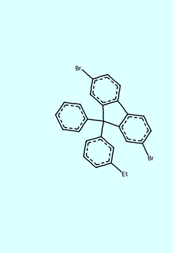 CCc1cccc(C2(c3ccccc3)c3cc(Br)ccc3-c3ccc(Br)cc32)c1